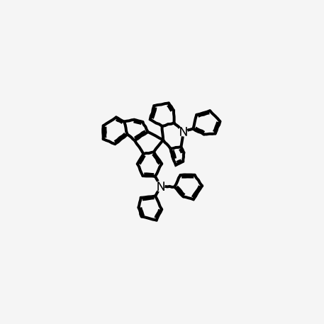 C1=CC2C(C=C1)C1(c3cc(N(c4ccccc4)c4ccccc4)ccc3-c3c1ccc1ccccc31)c1ccccc1N2c1ccccc1